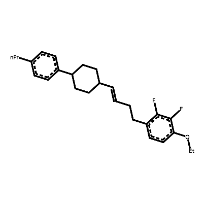 CCCc1ccc(C2CCC(C=CCCc3ccc(OCC)c(F)c3F)CC2)cc1